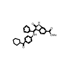 COC(=O)c1ccc2c(c1)NC(=O)C2=C(Nc1ccc(C(=O)C2CCCCC2)cc1)c1ccccc1